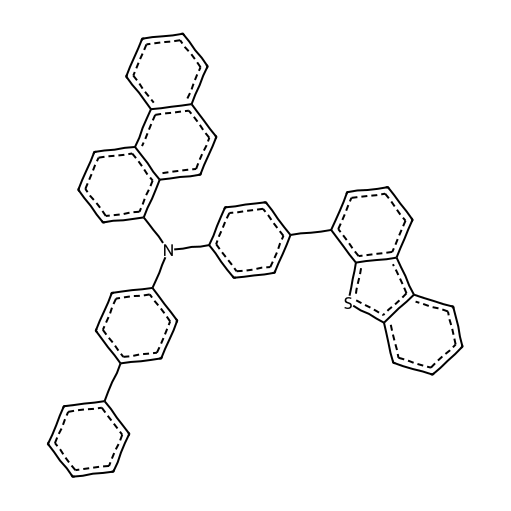 c1ccc(-c2ccc(N(c3ccc(-c4cccc5c4sc4ccccc45)cc3)c3cccc4c3ccc3ccccc34)cc2)cc1